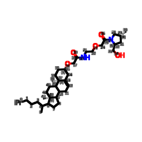 CC(C)CCCC(C)C1CCC2C3CC=C4C[C@@H](OCC(=O)NCCOCC(=O)N5C[C@H](C)C[C@H]5CO)CC[C@]4(C)C3CC[C@]12C